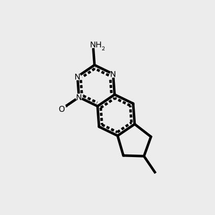 CC1Cc2cc3nc(N)n[n+]([O-])c3cc2C1